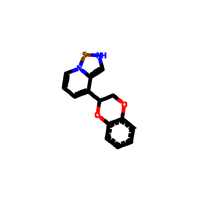 [c]1cccc2c1OCC(C1=CC=CN3SNC=C13)O2